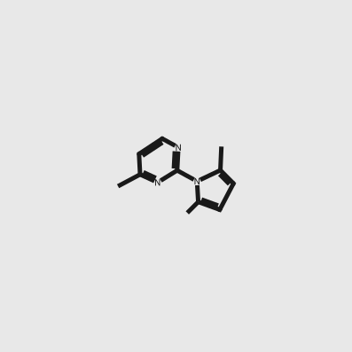 Cc1ccnc(-n2c(C)ccc2C)n1